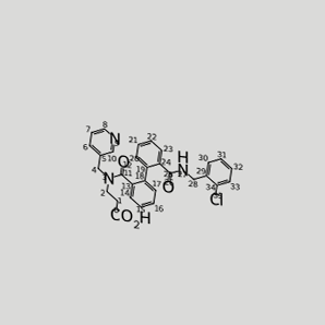 O=C(O)CCN(Cc1cccnc1)C(=O)c1ccccc1-c1ccccc1C(=O)NCc1ccccc1Cl